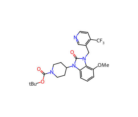 COc1cccc2c1n(Cc1cnccc1C(F)(F)F)c(=O)n2C1CCN(C(=O)OC(C)(C)C)CC1